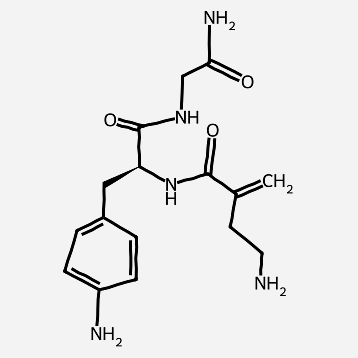 C=C(CCN)C(=O)N[C@@H](Cc1ccc(N)cc1)C(=O)NCC(N)=O